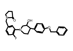 O=C1CCCN1Cc1ccc(F)c(N2CCC(c3ccc(OCc4ccccc4)cc3)C(O)C2)c1